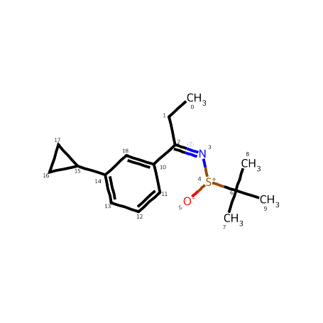 CC/C(=N/[S+]([O-])C(C)(C)C)c1cccc(C2CC2)c1